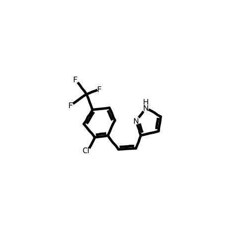 FC(F)(F)c1ccc(/C=C\c2cc[nH]n2)c(Cl)c1